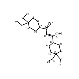 CCC1(CC)CCC(C(=O)/C=C(\O)C2CCC(CC)(CC)CC2)CC1